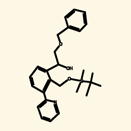 CC(C)(C)[Si](C)(C)OCc1c(-c2ccccn2)cccc1C(O)COCc1ccccc1